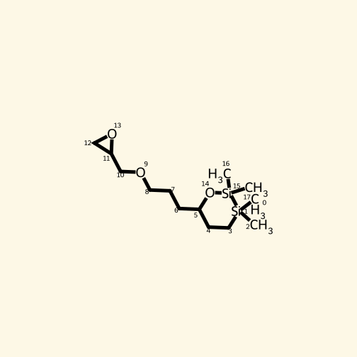 C[Si]1(C)CCC(CCCOCC2CO2)O[Si]1(C)C